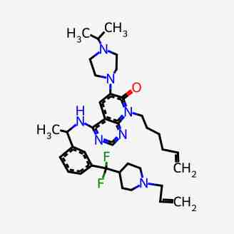 C=CCCCCn1c(=O)c(N2CCN(C(C)C)CC2)cc2c(NC(C)c3cccc(C(F)(F)C4CCN(CC=C)CC4)c3)ncnc21